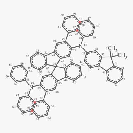 CC1(C)c2ccccc2-c2ccc(N(c3ccccc3)c3cc4c(cc3-c3ccccc3)-c3ccccc3C43c4ccccc4-c4cc(-c5ccccc5)c(N(c5ccccc5)c5ccccc5)cc43)cc21